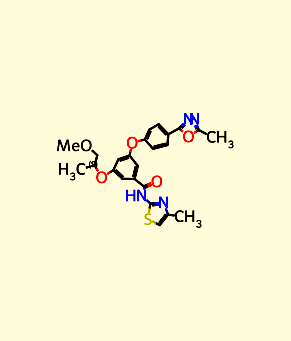 COC[C@H](C)Oc1cc(Oc2ccc(-c3nnc(C)o3)cc2)cc(C(=O)Nc2nc(C)cs2)c1